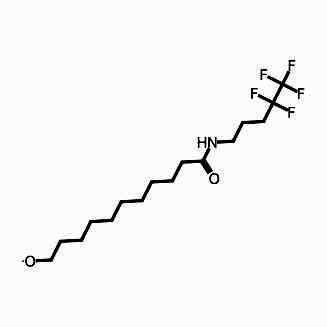 [O]CCCCCCCCCCC(=O)NCCCC(F)(F)C(F)(F)F